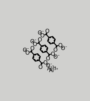 O=C(O[O-])c1ccc(C(=O)O[O-])cc1.O=C(O[O-])c1ccc(C(=O)O[O-])cc1.O=C(O[O-])c1ccc(C(=O)O[O-])cc1.[Al+3].[Al+3]